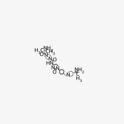 C[C@@H](N)C1CCN(Cc2ccc(-n3ccc(NC(=O)N4CCN(C(=O)C(C)(C)N)CC4)nc3=O)cc2)CC1